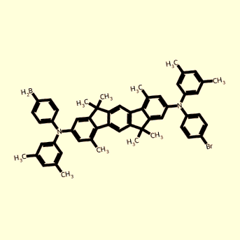 Bc1ccc(N(c2cc(C)cc(C)c2)c2cc(C)c3c(c2)C(C)(C)c2cc4c(cc2-3)C(C)(C)c2cc(N(c3ccc(Br)cc3)c3cc(C)cc(C)c3)cc(C)c2-4)cc1